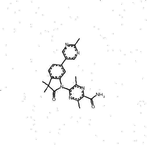 Cc1ncc(-c2ccc3c(c2)N(c2nc(C)c(C(N)=O)nc2C)C(=O)C3(C)C)cn1